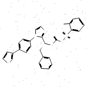 Cc1ccccc1S(=O)(=O)NC(=O)N[C@@H](Cc1ccccc1)c1nccn1-c1ccc(-c2ccsc2)cc1